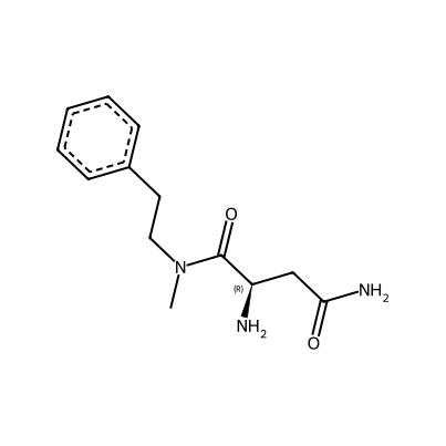 CN(CCc1ccccc1)C(=O)[C@H](N)CC(N)=O